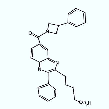 O=C(O)CCCCc1nc2cc(C(=O)N3CC(c4ccccc4)C3)ccc2nc1-c1ccccc1